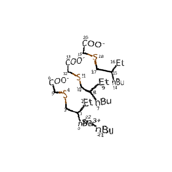 CCCCC(CC)CSCC(=O)[O-].CCCCC(CC)CSCC(=O)[O-].CCCCC(CC)CSCC(=O)[O-].CCC[CH2][Sn+3]